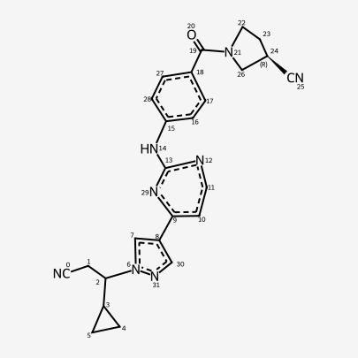 N#CCC(C1CC1)n1cc(-c2ccnc(Nc3ccc(C(=O)N4CC[C@@H](C#N)C4)cc3)n2)cn1